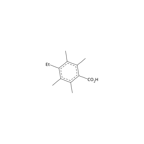 CCc1c(C)c(C)c(C(=O)O)c(C)c1C